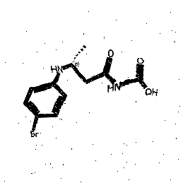 C[C@H](CC(=O)NC(=O)O)Nc1ccc(Br)cc1